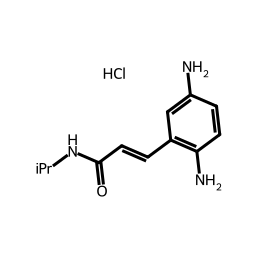 CC(C)NC(=O)C=Cc1cc(N)ccc1N.Cl